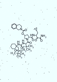 CC(C)(C)C(NC(=O)NC1(CS(=O)(=O)C(C)(C)C)CCCCC1)C(=O)N1CC(OC(=O)N2CCc3ccccc3C2)CC1C(=O)NC(CC1CC1)C(=O)C(N)=O